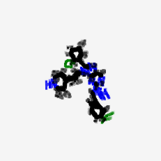 Fc1cccc(CNc2ncc3nc(-c4ccccc4Cl)n(CCC4CCNCC4)c3n2)c1